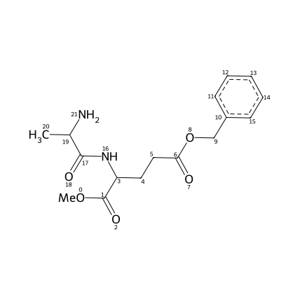 COC(=O)C(CCC(=O)OCc1ccccc1)NC(=O)C(C)N